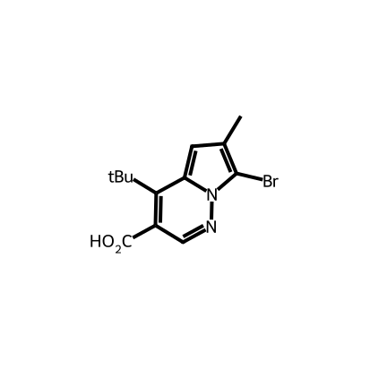 Cc1cc2c(C(C)(C)C)c(C(=O)O)cnn2c1Br